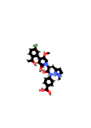 COc1cn([C@@H](Cc2ccn(C)n2)C(=O)Nc2ccc(C(=O)O)cc2)c(=O)cc1-c1cc(Cl)ccc1C(C)=O